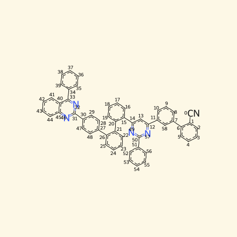 N#Cc1ccccc1-c1cccc(-c2cc(-c3ccccc3-c3ccccc3-c3ccc(-c4nc(-c5ccccc5)c5ccccc5n4)cc3)nc(-c3ccccc3)n2)c1